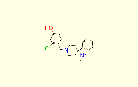 CN(C)C1(c2ccccc2)CCN(Cc2ccc(O)cc2Cl)CC1